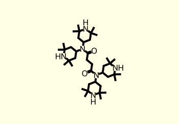 CC1(C)CC(N(C(=O)CCC(=O)N(C2CC(C)(C)NC(C)(C)C2)C2CC(C)(C)NC(C)(C)C2)C2CC(C)(C)NC(C)(C)C2)CC(C)(C)N1